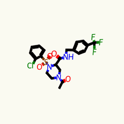 CC(=O)N1CCN(S(=O)(=O)c2ccccc2Cl)C(C(=O)NCc2ccc(C(F)(F)F)cc2)C1